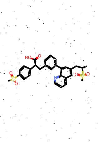 CC(Cc1cc(-c2cccc(CC(C(=O)O)c3ccc(S(C)(=O)=O)cc3)c2)c2ncccc2c1)S(C)(=O)=O